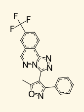 Cc1onc(-c2ccccc2)c1-c1nnc2c3ccc(C(F)(F)F)cc3cnn12